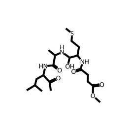 COC(=O)CCC(=O)NC(CCSC)C(O)NC(C)C(=O)NC(CC(C)C)C(C)=O